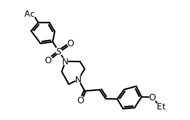 CCOc1ccc(/C=C/C(=O)N2CCN(S(=O)(=O)c3ccc(C(C)=O)cc3)CC2)cc1